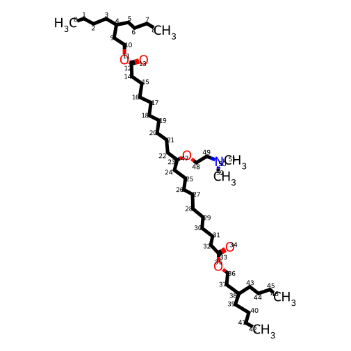 CCCCC(CCCC)CCOC(=O)CCCCCCCCCC(CCCCCCCCCC(=O)OCCC(CCCC)CCCC)OCCN(C)C